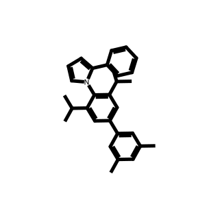 Cc1cc(C)cc(-c2cc(C(C)C)c(-n3cccc3-c3ccccc3)c(C(C)C)c2)c1